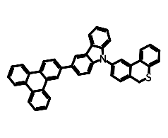 c1ccc2c(c1)SCc1ccc(-n3c4ccccc4c4cc(-c5ccc6c7ccccc7c7ccccc7c6c5)ccc43)cc1-2